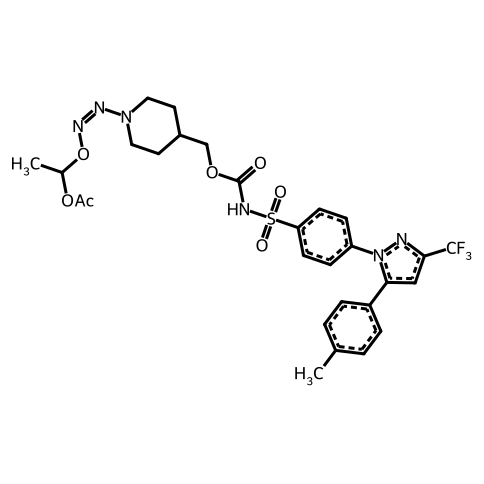 CC(=O)OC(C)O/N=N\N1CCC(COC(=O)NS(=O)(=O)c2ccc(-n3nc(C(F)(F)F)cc3-c3ccc(C)cc3)cc2)CC1